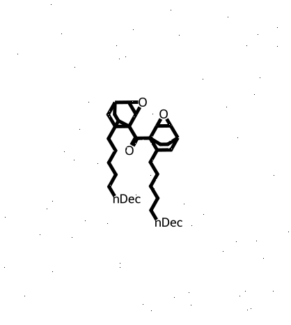 CCCCCCCCCCCCCCCC1CC2CCC1(C(=O)C13CCC(CC1CCCCCCCCCCCCCCC)C1OC13)C1OC21